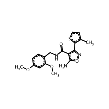 COc1ccc(CNC(=O)c2c(-c3sccc3C)noc2N)c(OC)c1